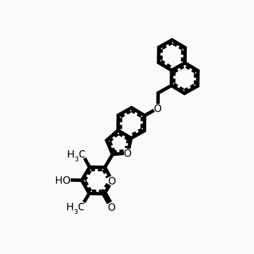 Cc1c(-c2cc3ccc(OCc4cccc5ccccc45)cc3o2)oc(=O)c(C)c1O